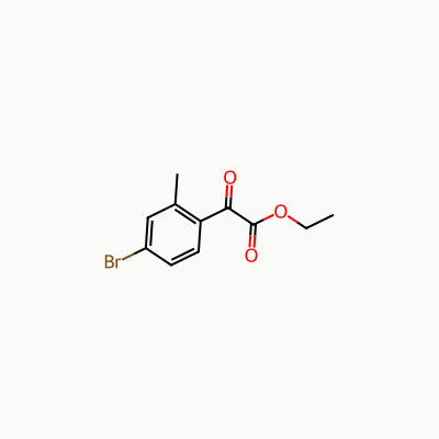 CCOC(=O)C(=O)c1ccc(Br)cc1C